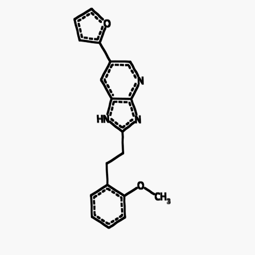 COc1ccccc1CCc1nc2ncc(-c3ccco3)cc2[nH]1